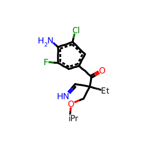 CCC(C=N)(COC(C)C)C(=O)c1cc(F)c(N)c(Cl)c1